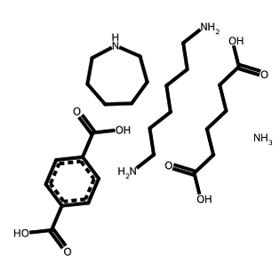 C1CCCNCC1.N.NCCCCCCN.O=C(O)CCCCC(=O)O.O=C(O)c1ccc(C(=O)O)cc1